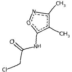 Cc1noc(NC(=O)CCl)c1C